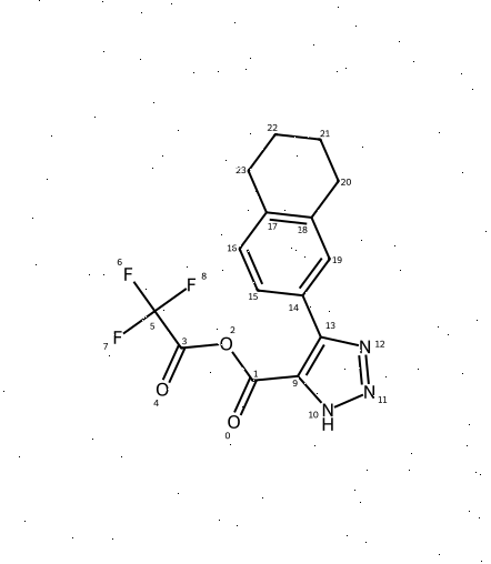 O=C(OC(=O)C(F)(F)F)c1[nH]nnc1-c1ccc2c(c1)CCCC2